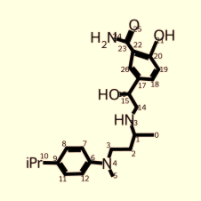 CC(CCN(C)c1ccc(C(C)C)cc1)NCC(O)c1ccc(O)c(C(N)=O)c1